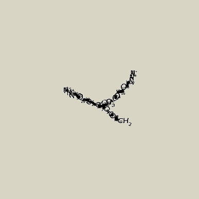 C=CCOCCOCC(C)(COCCOCCOCCN=[N+]=[N-])COCCOCCOCCN=[N+]=[N-]